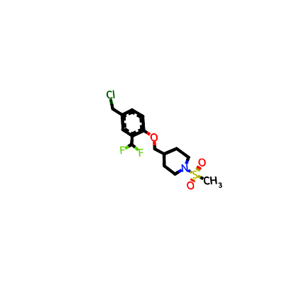 CS(=O)(=O)N1CCC(COc2ccc(CCl)cc2C(F)F)CC1